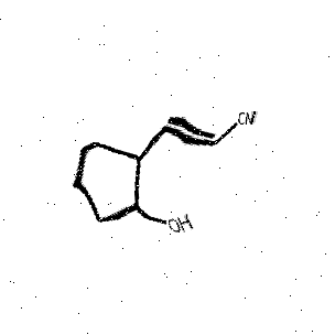 N#CC=CC1CCCC1O